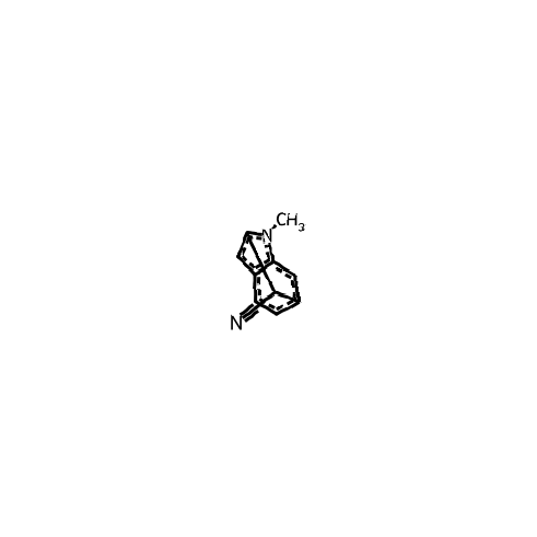 Cn1c2cc3ccc(cc31)C2C#N